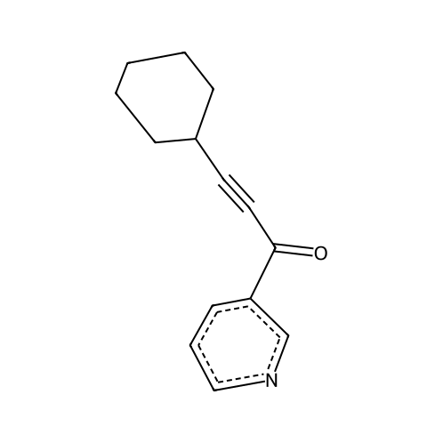 O=C(C#CC1CCCCC1)c1cccnc1